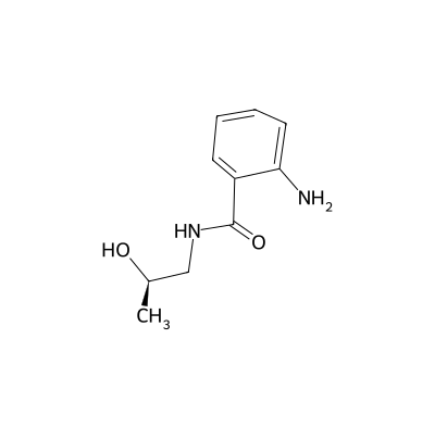 C[C@@H](O)CNC(=O)c1ccccc1N